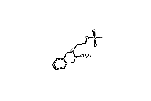 CS(=O)(=O)OCC[C@@H]1Cc2ccccc2CN1C(=O)O